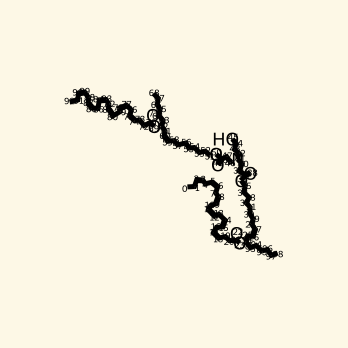 CC/C=C\C/C=C\C/C=C\C/C=C\C/C=C\C/C=C\CCC(=O)OC(C/C=C\CCCCCCCCOC(=O)CCN(CCCO)CCC(=O)OCCCCCCCC/C=C\CC(CCCCCC)OC(=O)CC/C=C\C/C=C\C/C=C\C/C=C\C/C=C\C/C=C\CC)CCCCCC